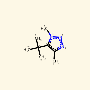 Cc1nnn(C)c1C(C)(C)C